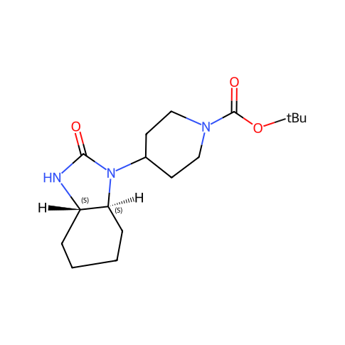 CC(C)(C)OC(=O)N1CCC(N2C(=O)N[C@H]3CCCC[C@@H]32)CC1